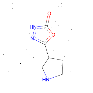 O=c1[nH]nc(C2CCNC2)o1